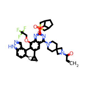 C=CC(=O)N1CC2(CCN(c3nc(OC4C5CCC4CS(=O)(=O)C5)nc4c(OCC(F)(F)F)c(-c5c(C)ccc6[nH]ncc56)c(C5CC5)cc34)CC2)C1